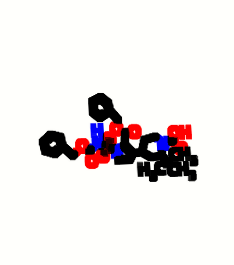 CC(C)(C)C1CC(c2ccn(S(=O)(=O)NC(=O)OCc3ccccc3)c2C(=O)OCc2ccccc2)CCN1C(=O)O